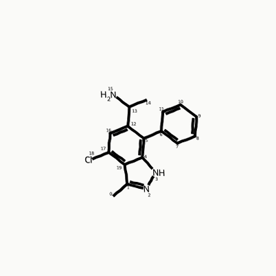 Cc1n[nH]c2c(-c3ccccc3)c(C(C)N)cc(Cl)c12